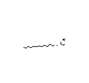 CCCCCCCCCCCCSC[C@H]1COC(C)(C)O1